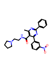 Cc1nc(-c2ccccc2)nc(-c2cccc([N+](=O)[O-])c2)c1C(=O)NCCN1CCCC1